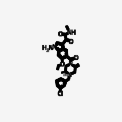 C=C1CN(Cc2cccc(Cl)c2)[C@@H](C)CN1C(=O)c1cc2c(C(=O)C(=O)NC)cn(N)c2cc1OCC